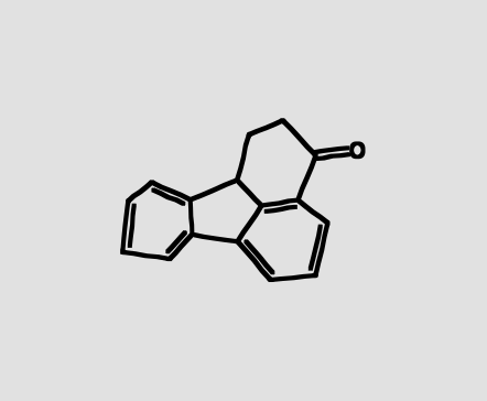 O=C1CCC2c3ccccc3-c3cccc1c32